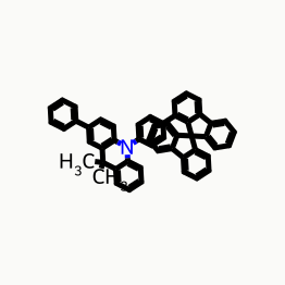 CC1(C)c2ccccc2N(c2ccc(-c3cccc4c3C3(c5ccccc5-c5ccccc53)c3ccccc3-4)cc2)c2ccc(-c3ccccc3)cc21